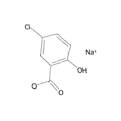 O=C([O-])c1cc(Cl)ccc1O.[Na+]